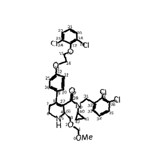 COCOC[C@H]1NCCC(c2ccc(OCCOc3c(Cl)cccc3Cl)cc2)=C1C(=O)N(Cc1cccc(Cl)c1Cl)C1CC1